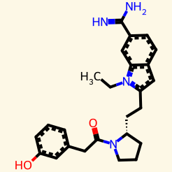 CCn1c(CC[C@@H]2CCCN2C(=O)Cc2cccc(O)c2)cc2ccc(C(=N)N)cc21